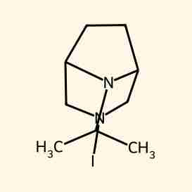 CC(C)N1C2CCC1CN(I)C2